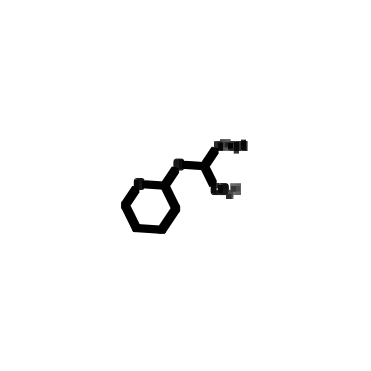 CCCCCCCC(OC1CCCCO1)C(=O)O